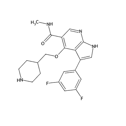 CNC(=O)c1cnc2[nH]cc(-c3cc(F)cc(F)c3)c2c1OCC1CCNCC1